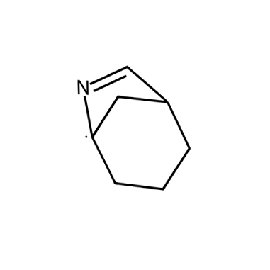 C1=N[C]2CCCC1C2